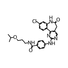 CC(C)OCCCNC(=O)c1ccc(Nc2ncc3c(n2)-c2ccc(Cl)cc2NC(=O)C3)cc1